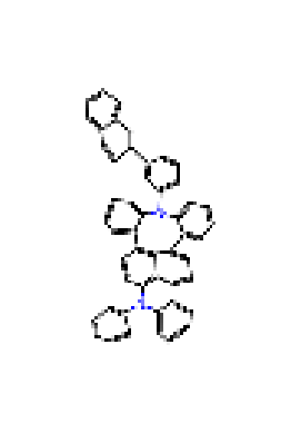 c1ccc(N(c2ccccc2)c2ccc3c4c(cccc24)-c2ccccc2N(c2cccc(-c4ccc5ccccc5c4)c2)c2ccccc2-3)cc1